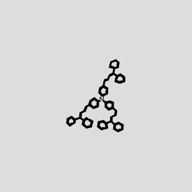 C1=CC(/C(=C/C=C/c2ccc(N(c3ccc(/C=C\C=C(c4ccccc4)c4ccccc4)cc3)c3ccc(/C=C/C=C(c4ccccc4)c4ccccc4)cc3)cc2)c2ccccc2)=CCC1